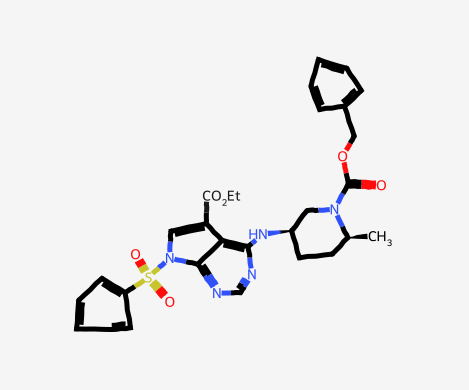 CCOC(=O)c1cn(S(=O)(=O)c2ccccc2)c2ncnc(N[C@@H]3CC[C@H](C)N(C(=O)OCc4ccccc4)C3)c12